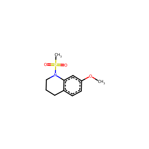 COc1ccc2c(c1)N(S(C)(=O)=O)CCC2